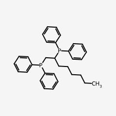 CCCCCCC(CP(c1ccccc1)c1ccccc1)P(c1ccccc1)c1ccccc1